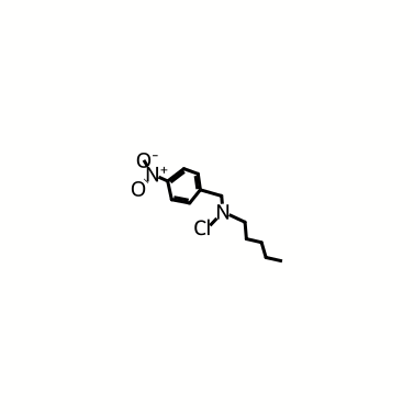 CCCCCN(Cl)Cc1ccc([N+](=O)[O-])cc1